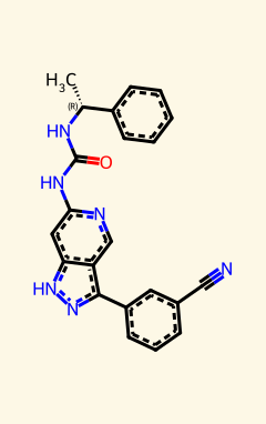 C[C@@H](NC(=O)Nc1cc2[nH]nc(-c3cccc(C#N)c3)c2cn1)c1ccccc1